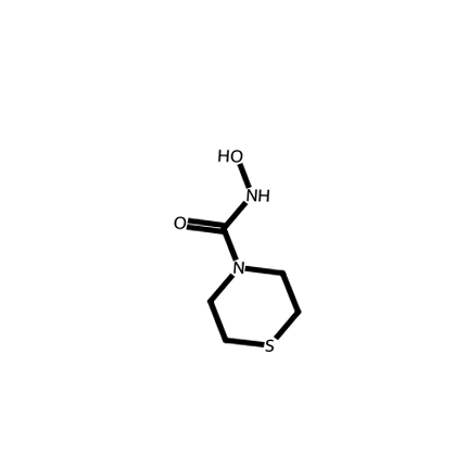 O=C(NO)N1CCSCC1